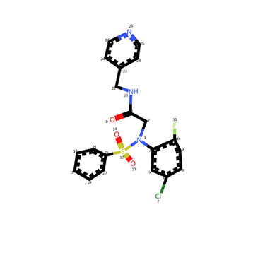 O=C(CN(c1cc(Cl)ccc1F)S(=O)(=O)c1ccccc1)NCc1ccncc1